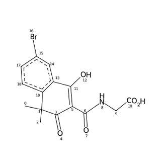 CC1(C)C(=O)C(C(=O)NCC(=O)O)=C(O)c2cc(Br)ccc21